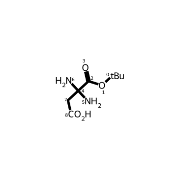 CC(C)(C)OC(=O)C(N)(N)CC(=O)O